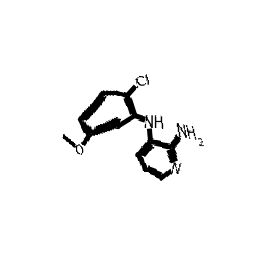 COc1ccc(Cl)c(Nc2cccnc2N)c1